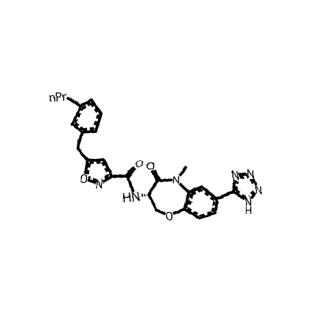 CCCc1cccc(Cc2cc(C(=O)N[C@H]3COc4ccc(-c5nnn[nH]5)cc4N(C)C3=O)no2)c1